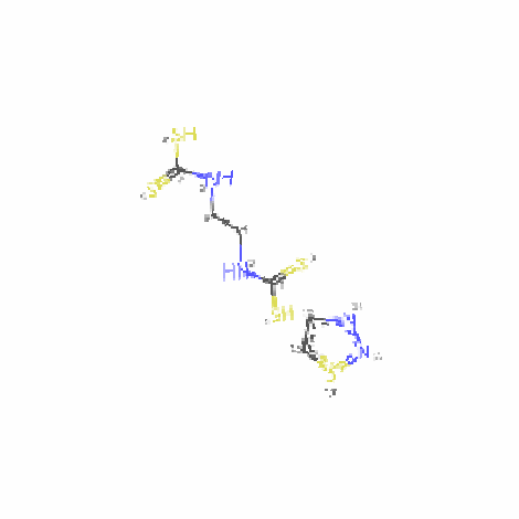 S=C(S)NCCNC(=S)S.c1csnn1